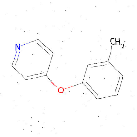 [CH2]c1cccc(Oc2ccncc2)c1